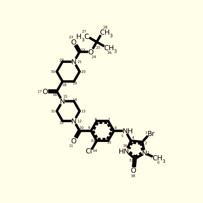 Cn1c(Br)c(Nc2ccc(C(=O)N3CCN(C(=O)C4CCN(C(=O)OC(C)(C)C)CC4)CC3)c(Cl)c2)[nH]c1=O